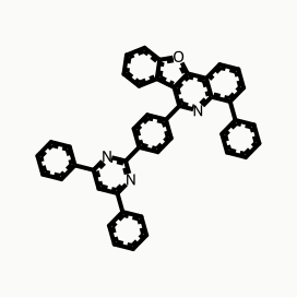 c1ccc(-c2cc(-c3ccccc3)nc(-c3ccc(-c4nc5c(-c6ccccc6)cccc5c5oc6ccccc6c45)cc3)n2)cc1